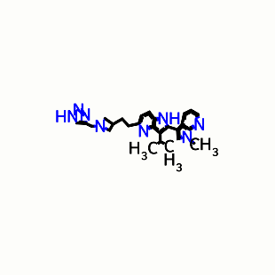 CC(C)c1c(-c2cn(C)c3ncccc23)[nH]c2ccc(CCC3CN(Cc4c[nH]nn4)C3)nc12